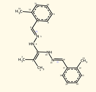 CC(C)=C(N/N=C/c1ccccc1C)N/N=C/c1ccccc1C